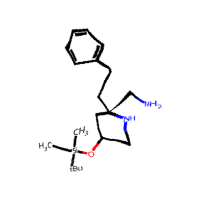 CC(C)(C)[Si](C)(C)OC1CN[C@@](CN)(CCc2ccccc2)C1